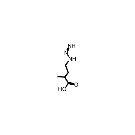 N=NNCCC(I)C(=O)O